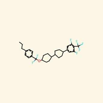 CCCc1ccc(C(F)(F)OC2CCC(C3CCC(c4cc(F)c(C(F)(F)F)c(F)c4)CC3)CC2)cc1